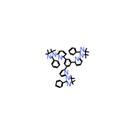 CC1(C)N=C(c2ccccc2)N(c2cccc(-c3cc(-c4cccc(N5C(c6ccccc6)=NC(C)(C)C5(C)C)n4)cc(-c4cccc(N5C(c6ccccc6)=NC(C)(C)C5(C)C)n4)c3)n2)C1(C)C